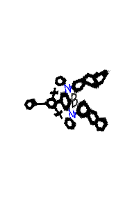 CC(C)(C)c1cc(-c2ccccc2)cc(C(C)(C)C)c1-c1cc2c3c(c1)N(c1ccccc1)c1cc4cc5ccccc5cc4cc1B3c1cc3cc4ccccc4cc3cc1N2c1ccccc1